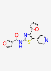 O=C(Nc1nc(-c2ccco2)c(-c2ccncc2)s1)c1ccoc1